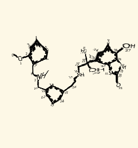 COc1ccccc1CNCc1cccc(CCNCC(O)(O)c2ccc(O)c3[nH]c(=O)sc23)c1